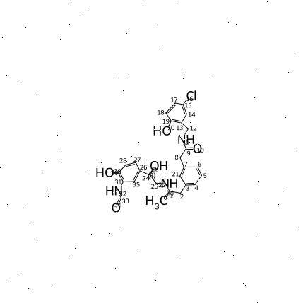 C[C@H](Cc1cccc(CC(=O)NCc2cc(Cl)ccc2O)c1)NC[C@H](O)c1ccc(O)c(NC=O)c1